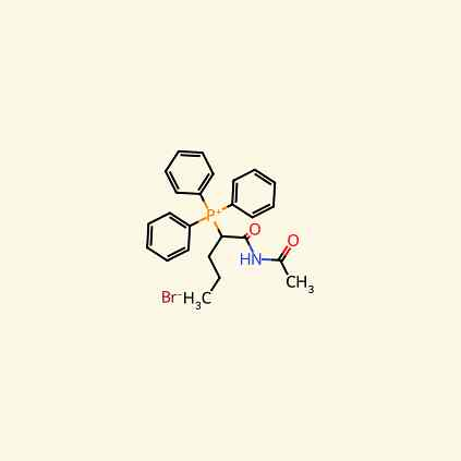 CCCC(C(=O)NC(C)=O)[P+](c1ccccc1)(c1ccccc1)c1ccccc1.[Br-]